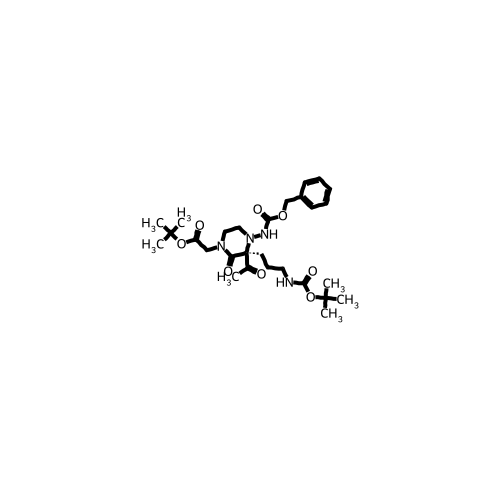 CC(=O)[C@@]1(CCCNC(=O)OC(C)(C)C)C(=O)N(CC(=O)OC(C)(C)C)CCN1NC(=O)OCc1ccccc1